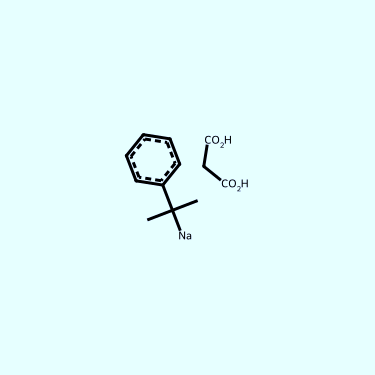 C[C](C)([Na])c1ccccc1.O=C(O)CC(=O)O